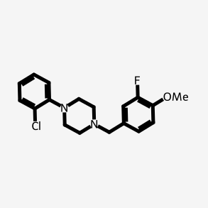 COc1ccc(CN2CCN(c3ccccc3Cl)CC2)cc1F